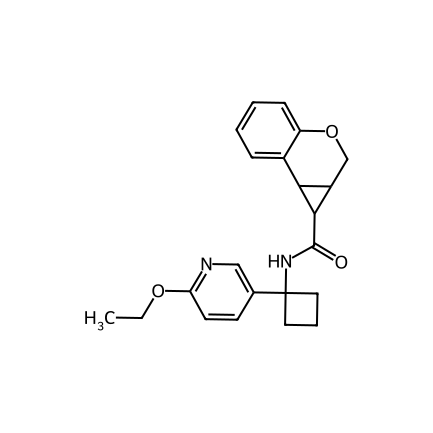 CCOc1ccc(C2(NC(=O)C3C4COc5ccccc5C43)CCC2)cn1